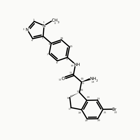 Cn1cncc1-c1ccc(NC(=O)[C@@H](N)[C@H]2CCc3ccc(Br)cc32)cc1